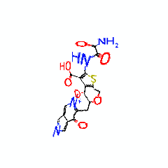 NC(=O)C(=O)Nc1sc2c(c1C(=O)O)CC(CC1=[N+]([O-])C=C3C=NC=C3C1=O)OC2